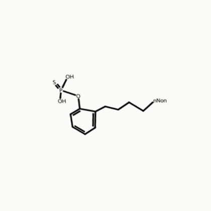 CCCCCCCCCCCCCc1ccccc1OP(O)(O)=S